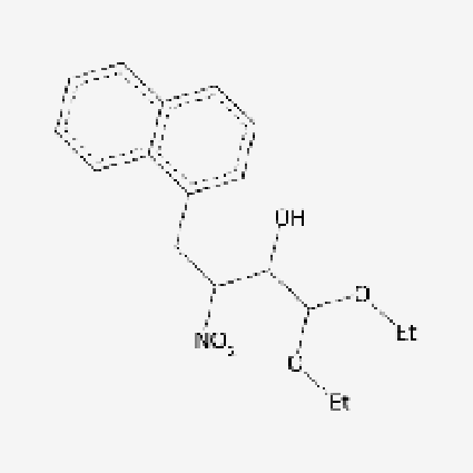 CCOC(OCC)C(O)C(Cc1cccc2ccccc12)[N+](=O)[O-]